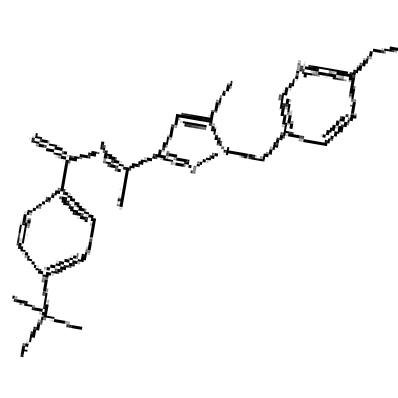 C=C(/N=C(\C)c1cc(C)n(Cc2ccc(CI)nc2)n1)c1ccc(C(C)(C)F)cc1